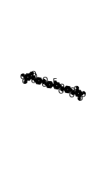 COc1cc(C=O)c(C(=O)Oc2ccc(C(=O)Oc3ccc(-c4ccc(OC(=O)c5ccc(OC(=O)c6cc(OC)c(OC)cc6OC)cc5)cc4F)cc3)cc2)cc1OC